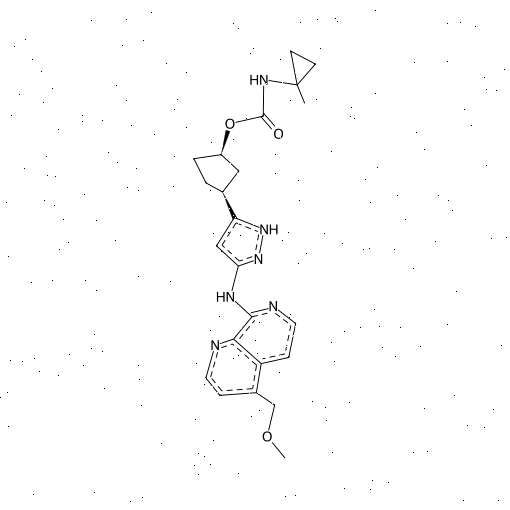 COCc1ccnc2c(Nc3cc([C@H]4CC[C@@H](OC(=O)NC5(C)CC5)C4)[nH]n3)nccc12